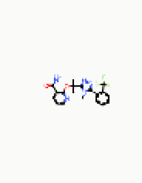 Cn1c(-c2ccccc2C(F)(F)F)nnc1C(C)(C)Oc1ncccc1C(N)=O